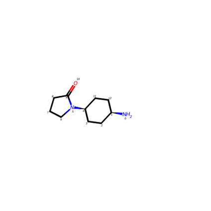 N[C@H]1CC[C@@H](N2CCCC2=O)CC1